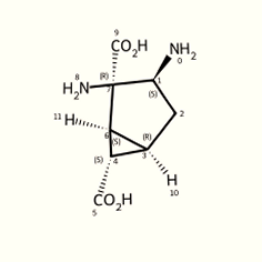 N[C@H]1C[C@H]2[C@H](C(=O)O)[C@H]2[C@]1(N)C(=O)O